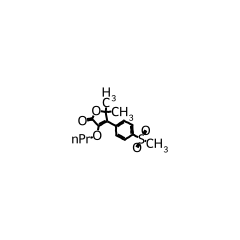 CCCOC1=C(c2ccc(S(C)(=O)=O)cc2)C(C)(C)OC1=O